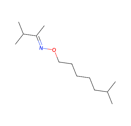 C/C(=N\OCCCCCC(C)C)C(C)C